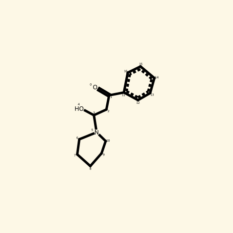 O=C(CC(O)N1CCCCC1)c1ccccc1